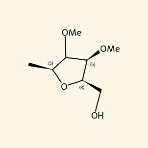 COC1[C@H](C)O[C@H](CO)[C@@H]1OC